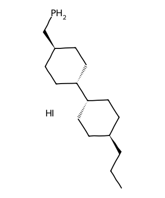 CCC[C@H]1CC[C@H]([C@H]2CC[C@H](CP)CC2)CC1.I